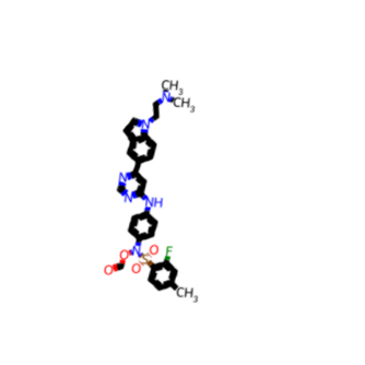 Cc1ccc(S(=O)(=O)N(OC=O)c2ccc(Nc3cc(-c4ccc5c(ccn5CCN(C)C)c4)ncn3)cc2)c(F)c1